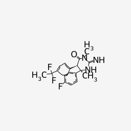 CN1C(=N)N[C@](C)(c2ccc(F)cc2)[C@@H](C2=CC=C(C(C)(F)F)CC2)C1=O